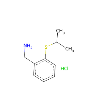 CC(C)Sc1ccccc1CN.Cl